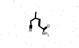 CC(C=CC(N)=O)CC#N